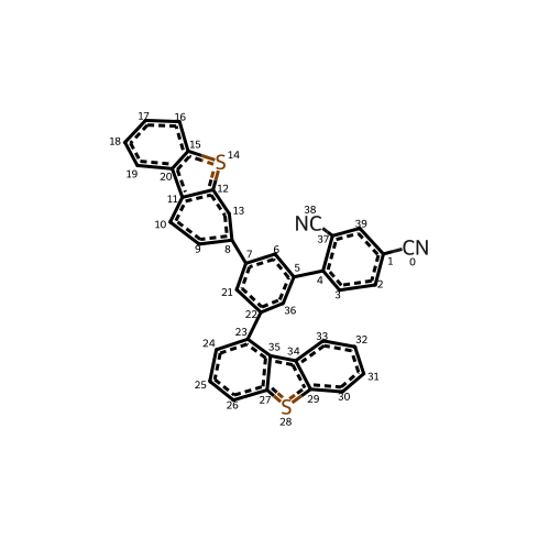 N#Cc1ccc(-c2cc(-c3ccc4c(c3)sc3ccccc34)cc(-c3cccc4sc5ccccc5c34)c2)c(C#N)c1